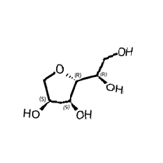 OC[C@@H](O)[C@H]1OC[C@H](O)[C@@H]1O